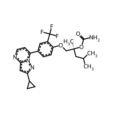 CC(C)C[C@@](C)(COc1ccc(-c2ccnc3cc(C4CC4)nn23)cc1C(F)(F)F)OC(N)=O